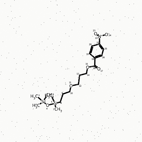 C[Si](C)(C)O[Si](C)(C)CCCOCCCOC(=O)c1ccc([N+](=O)[O-])cc1